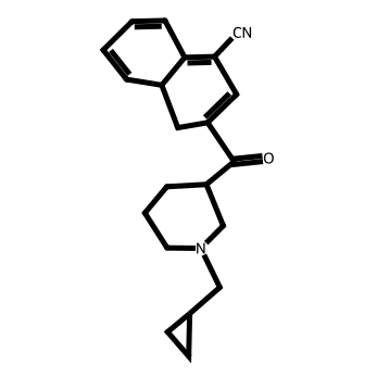 N#CC1=C2C=CC=CC2CC(C(=O)C2CCCN(CC3CC3)C2)=C1